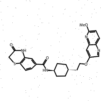 COc1ccc2ncc(OCC[C@H]3CC[C@H](NC(=O)c4ccc5c(c4)NC(=O)CS5)CC3)cc2n1